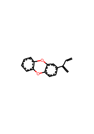 C=CC(=C)c1ccc2c(c1)Oc1ccccc1O2